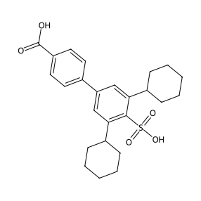 O=C(O)c1ccc(-c2cc(C3CCCCC3)c(S(=O)(=O)O)c(C3CCCCC3)c2)cc1